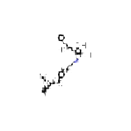 [N-]=[N+]=NCC(CN=[N+]=[N-])COC(=O)c1ccc(OC(=O)CCC/C=C\C[C@@H]2[C@@H](CC[C@@H](O)CCc3ccccc3)[C@H](O)C[C@@H]2O)cc1